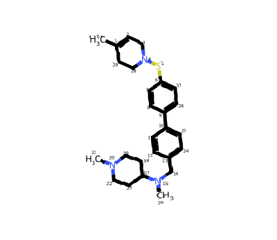 CC1=CCN(Sc2ccc(-c3ccc(CN(C)C4CCN(C)CC4)cc3)cc2)CC1